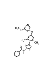 COc1cncc(Oc2cc(C)c(-c3csc(NC(=O)c4ccccc4)n3)c(C)c2)n1